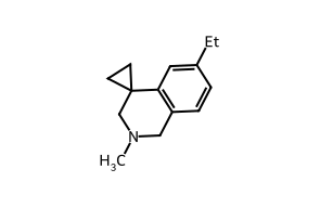 CCc1ccc2c(c1)C1(CC1)CN(C)C2